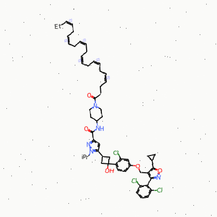 CC/C=C\C/C=C\C/C=C\C/C=C\C/C=C\C/C=C\CCC(=O)N1CCC(NC(=O)c2cc(C3CC(O)(c4ccc(OCc5c(-c6c(Cl)cccc6Cl)noc5C5CC5)cc4Cl)C3)n(C(C)C)n2)CC1